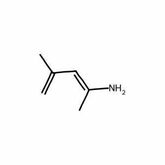 C=C(C)/C=C(\C)N